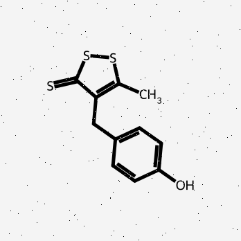 Cc1ssc(=S)c1Cc1ccc(O)cc1